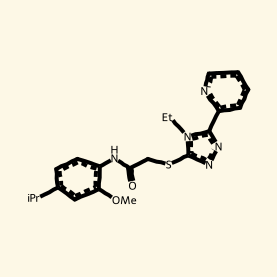 CCn1c(SCC(=O)Nc2ccc(C(C)C)cc2OC)nnc1-c1ccccn1